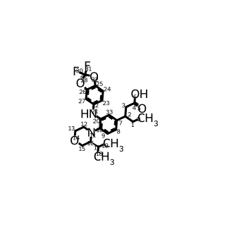 CCC(CC(=O)O)c1ccc(N2CCOC[C@@H]2C(C)C)c(Nc2ccc3c(c2)OC(F)(F)O3)c1